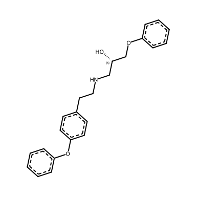 O[C@@H](CNCCc1ccc(Oc2ccccc2)cc1)COc1ccccc1